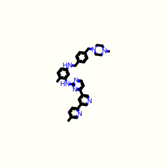 Cc1ccc(-c2cncc(-c3ccnc(Nc4cc(NCc5ccc(CN6CCN(C)CC6)cc5)ccc4C)n3)c2)nc1